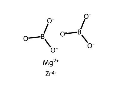 [Mg+2].[O-]B([O-])[O-].[O-]B([O-])[O-].[Zr+4]